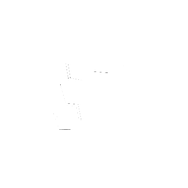 CCOCCOC(=O)Cc1ccccc1